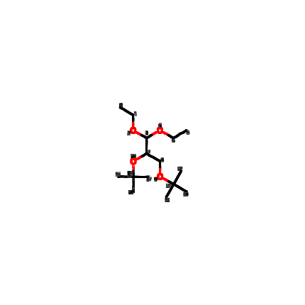 CCOC(OCC)C(COC(C)(C)C)OC(C)(C)C